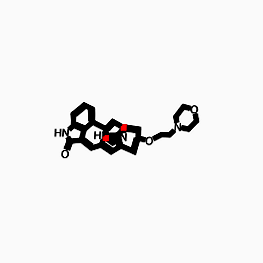 O=C1Nc2cccc(-c3ccncc3)c2/C1=C\c1cc2cc(OCCN3CCOCC3)ccc2[nH]1